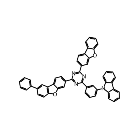 c1ccc(-c2ccc3oc4cc(-c5nc(-c6cccc(-n7c8ccccc8c8ccccc87)c6)nc(-c6ccc7c(c6)oc6ccccc67)n5)ccc4c3c2)cc1